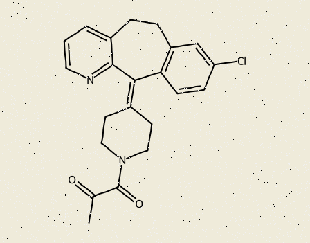 CC(=O)C(=O)N1CCC(=C2c3ccc(Cl)cc3CCc3cccnc32)CC1